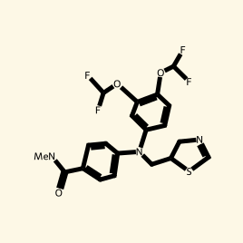 CNC(=O)c1ccc(N(CC2CN=CS2)c2ccc(OC(F)F)c(OC(F)F)c2)cc1